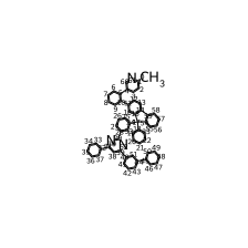 Cc1ccc(-c2ccccc2-c2ccc3c(c2)C(c2ccccc2)(c2cccc(-c4nc(-c5ccccc5)cc(-c5cccc(-c6ccccc6)c5)n4)c2)c2ccccc2-3)cn1